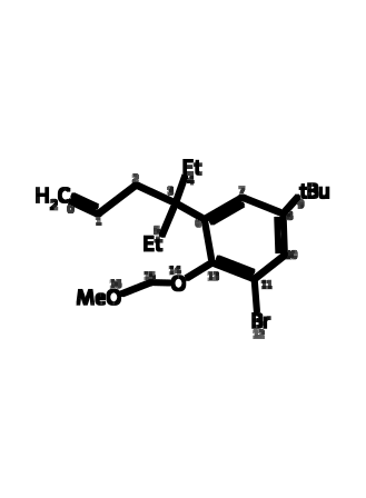 C=CCC(CC)(CC)c1cc(C(C)(C)C)cc(Br)c1OCOC